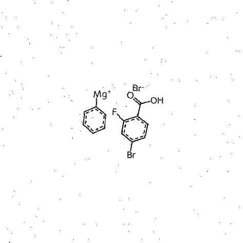 O=C(O)c1ccc(Br)cc1F.[Br-].[Mg+][c]1ccccc1